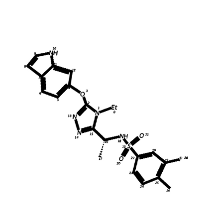 CCn1c(Oc2ccc3cc[nH]c3c2)nnc1[C@@H](C)NS(=O)(=O)c1ccc(C)c(F)c1